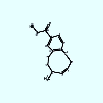 CC1/C=C\CCc2ccc(C(=O)SS)cc2CC1